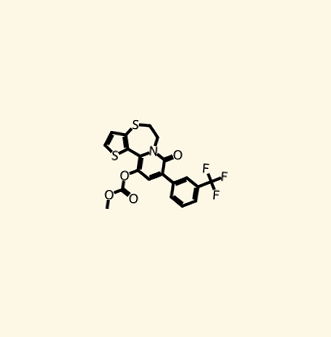 COC(=O)Oc1cc(-c2cccc(C(F)(F)F)c2)c(=O)n2c1-c1sccc1SCC2